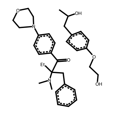 CCC(Cc1ccccc1)(C(=O)c1ccc(N2CCOCC2)cc1)N(C)C.C[C](O)Cc1ccc(OCCO)cc1